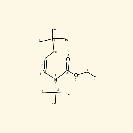 CCOC(=O)N(/N=C\CC(C)(C)C)C(C)(C)C